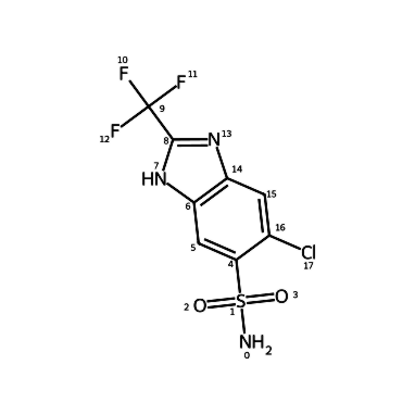 NS(=O)(=O)c1cc2[nH]c(C(F)(F)F)nc2cc1Cl